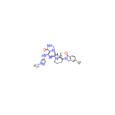 C[C@@H]1[C@H](N2Cc3cc(C4CC4)ccc3C2=O)CCCN1c1cnc(C(N)=O)c(Nc2cnn(C)c2)n1